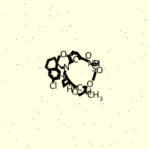 C[C@H]1COC2C[C@@H]1OCCS(=O)(=O)NC(=O)c1ccc3c(c1)N(C[C@@H]1CC[C@@H]21)C[C@@]1(CCCc2cc(Cl)ccc21)CO3